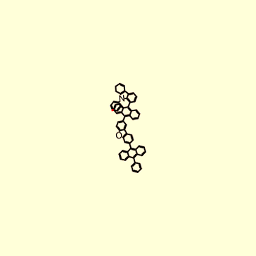 C1=Cc2c(n(-c3ccccc3)c3c(-c4c5ccccc5c(-c5ccc6oc7cc(-c8c9ccccc9c(-c9ccccc9)c9ccccc89)ccc7c6c5)c5ccccc45)cccc23)CC1